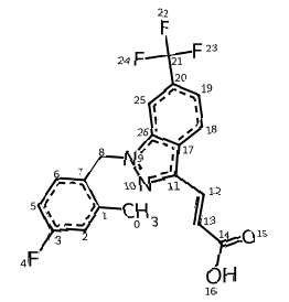 Cc1cc(F)ccc1Cn1nc(C=CC(=O)O)c2ccc(C(F)(F)F)cc21